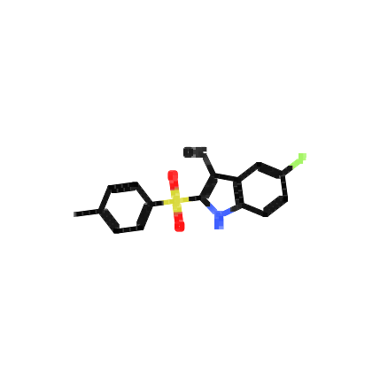 Cc1ccc(S(=O)(=O)c2[nH]c3ccc(F)cc3c2C=O)cc1